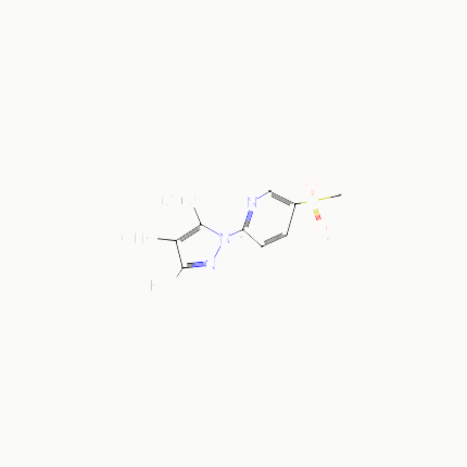 CC(C)COc1c(C=O)c(C(F)(F)F)nn1-c1ccc(S(C)(=O)=O)cn1